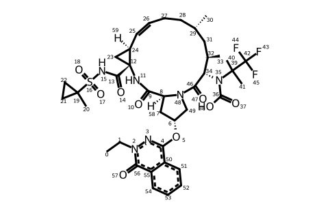 CCn1nc(O[C@@H]2C[C@H]3C(=O)N[C@]4(C(=O)NS(=O)(=O)C5(C)CC5)C[C@H]4C=CCC[C@H](C)C[C@@H](C)[C@H](N(C(=O)O)C(C)(C)C(F)(F)F)C(=O)N3C2)c2ccccc2c1=O